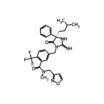 CC(C)CC[C@]1(c2ccccc2)NC(=N)N(Cc2ccc(C(F)(F)F)c(C(=O)N(C)Cc3ccon3)c2)C1=O